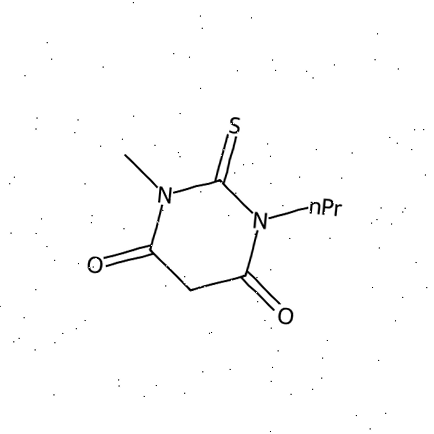 CCCN1C(=O)CC(=O)N(C)C1=S